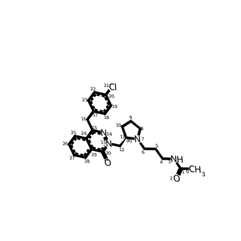 CC(=O)NCCCN1CCC[C@@H]1Cn1nc(Cc2ccc(Cl)cc2)c2ccccc2c1=O